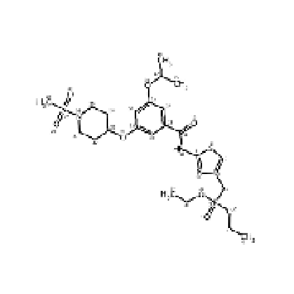 CCOP(=O)(Cc1csc(NC(=O)c2cc(OC(C)C)cc(OC3CCN(S(C)(=O)=O)CC3)c2)n1)OCC